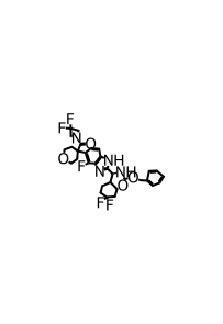 O=C(N[C@H](c1nc2c(F)c(C3(C(=O)N4CC(F)(F)C4)CCOCC3)ccc2[nH]1)C1CCC(F)(F)CC1)OCc1ccccc1